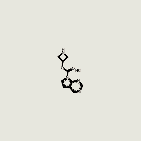 Cl.O=C(OC1CNC1)n1ccc2cncnc21